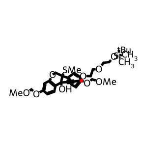 COCOc1ccc(C2(SC)COc3cc(OCOC)ccc3C2(O)C#CCOCCOCCO[Si](C)(C)C(C)(C)C)cc1